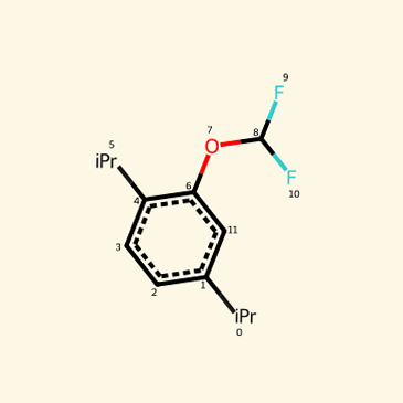 CC(C)c1ccc(C(C)C)c(OC(F)F)c1